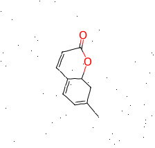 CC1=CC=C2C=CC(=O)OC2C1